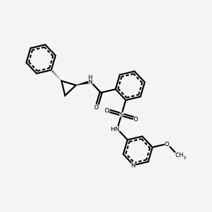 COc1cncc(NS(=O)(=O)c2ccccc2C(=O)N[C@H]2C[C@@H]2c2ccccc2)c1